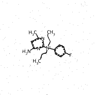 CCC[N+](CCC)(c1ccc(F)cc1)c1nc(C)cc(N)n1